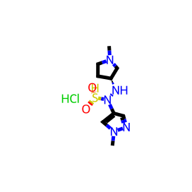 CN1CC[C@@H](NN(c2cnn(C)c2)[SH](=O)=O)C1.Cl